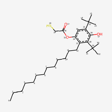 CCCCCCCCCCCCCc1c(OC(=O)CS)cc(C(C)(C)C)c(O)c1C(C)(C)C